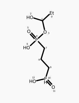 CCC(O)OP(=O)(O)CCC[PH](=O)O